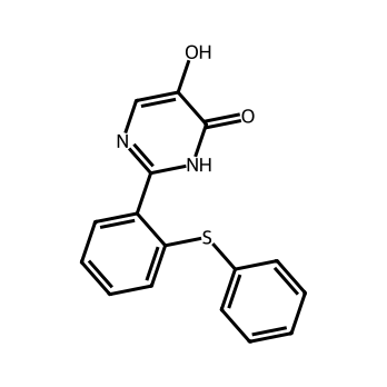 O=c1[nH]c(-c2ccccc2Sc2ccccc2)ncc1O